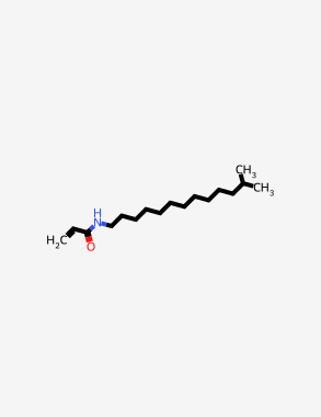 C=CC(=O)NCCCCCCCCCCCC(C)C